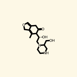 CC1=C2COC=C2CC(=O)C1[C@H](O)CN1CCNCC1CO